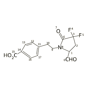 O=CC1CC(F)(F)C(=O)N1CCc1ccc(C(=O)O)cc1